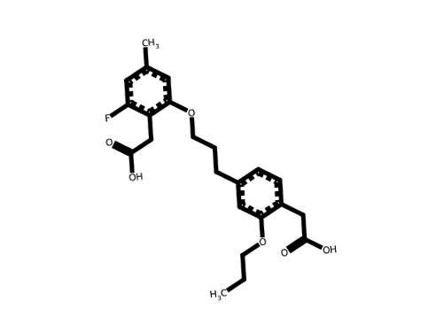 CCCOc1cc(CCCOc2cc(C)cc(F)c2CC(=O)O)ccc1CC(=O)O